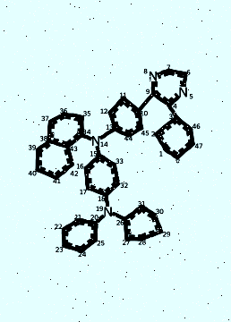 c1ccc(-c2nccnc2-c2ccc(N(c3ccc(N(c4ccccc4)c4ccccc4)cc3)c3cccc4ccccc34)cc2)cc1